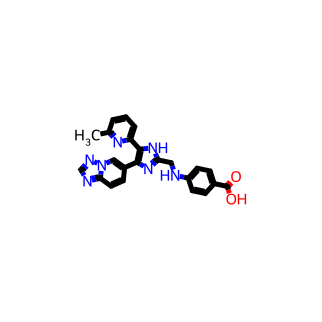 Cc1cccc(-c2[nH]c(CNc3ccc(C(=O)O)cc3)nc2-c2ccc3ncnn3c2)n1